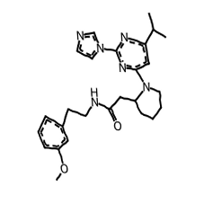 COc1cccc(CCNC(=O)CC2CCCCN2c2cc(C(C)C)nc(-n3ccnc3)n2)c1